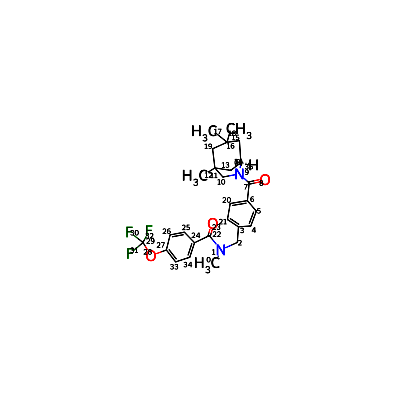 CN(Cc1ccc(C(=O)N2CC3(C)C[C@H]2CC(C)(C)C3)cc1)C(=O)c1ccc(OC(F)(F)F)cc1